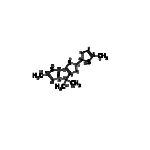 Cc1ccc(-c2cc3c(s2)-c2sc(C)cc2C3(C)C)s1